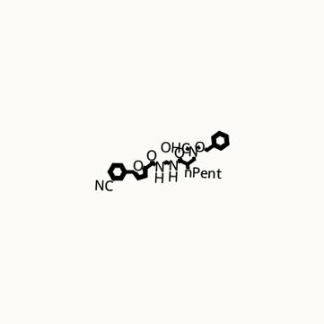 CCCCCC(CN(C=O)OCc1ccccc1)C(=O)NCNC(=O)c1ccc(-c2cccc(C#N)c2)o1